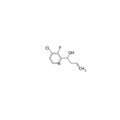 C=CCC(O)c1nccc(Cl)c1F